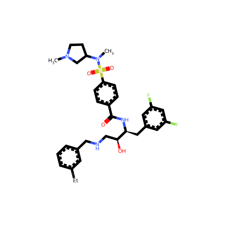 CCc1cccc(CNC[C@H](O)[C@H](Cc2cc(F)cc(F)c2)NC(=O)c2ccc(S(=O)(=O)N(C)C3CCN(C)C3)cc2)c1